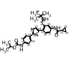 CC(C)OC(=O)Nc1ccc(-c2ncc(-c3ccc(NC(=O)C4CC4)cc3SNC(C)(C)C)s2)cc1